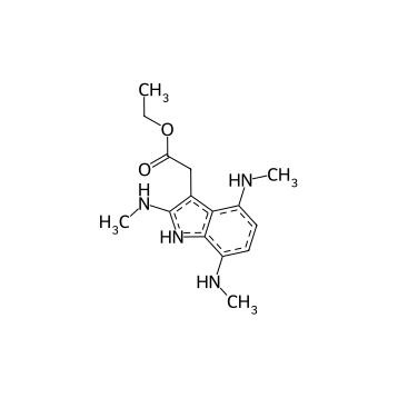 CCOC(=O)Cc1c(NC)[nH]c2c(NC)ccc(NC)c12